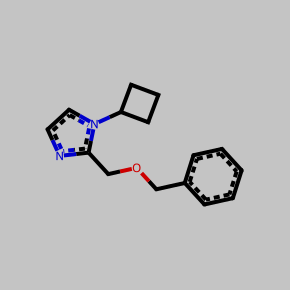 c1ccc(COCc2nccn2C2CCC2)cc1